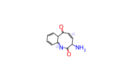 NC1/C=C\C(=O)C2C=CC=C/C2=N/C1=O